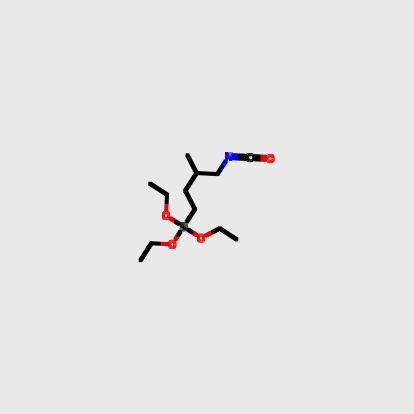 CCO[Si](CCC(C)CN=C=O)(OCC)OCC